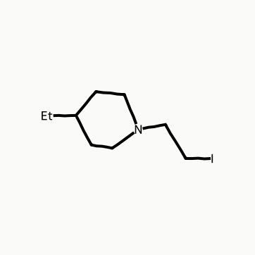 CCC1CCN(CCI)CC1